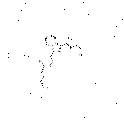 C=CC/C=C(Br)\C=C/Cc1nc(/C(C)=N/C=C\C)c2ccccn12